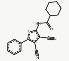 N#Cc1c(NC(=O)C2CCCCC2)sc(-c2ccccc2)c1C#N